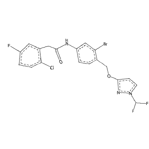 O=C(Cc1cc(F)ccc1Cl)Nc1ccc(COc2ccn(C(F)F)n2)c(Br)c1